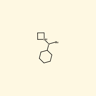 CCC(C)N(C1CCCCC1)[SiH]1CCC1